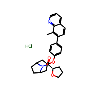 Cc1c(-c2ccc(OC3CC4CCC(C3)N4C(=O)[C@H]3CCCO3)cc2)ccc2cccnc12.Cl